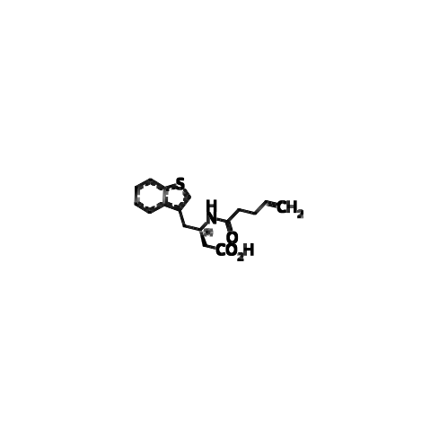 C=CCCC(=O)N[C@@H](CC(=O)O)Cc1csc2ccccc12